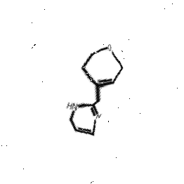 C1=C(c2ncc[nH]2)CCOC1